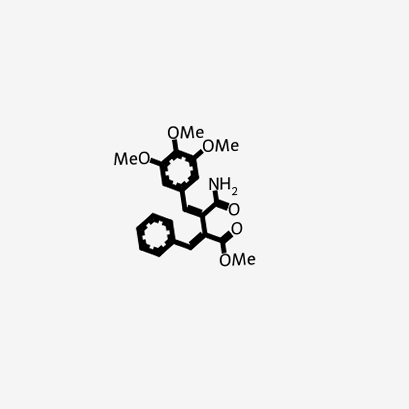 COC(=O)C(=C/c1ccccc1)/C(=C/c1cc(OC)c(OC)c(OC)c1)C(N)=O